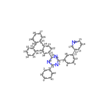 c1ccc(-c2nc(-c3cccc(-c4cccnc4)c3)nc(-c3ccc4c5ccccc5c5ccccc5c4c3)n2)cc1